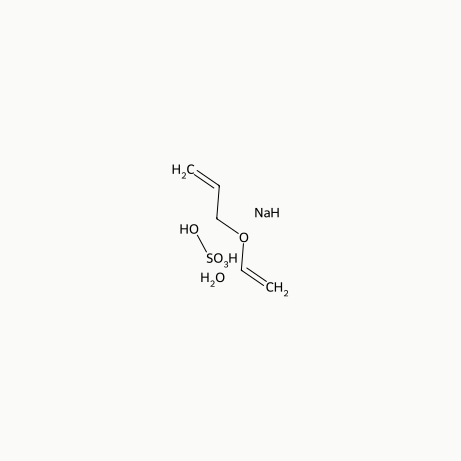 C=CCOC=C.O.O=S(=O)(O)O.[NaH]